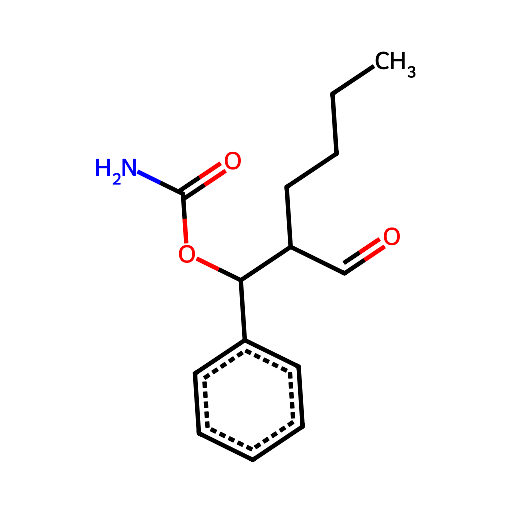 CCCCC(C=O)C(OC(N)=O)c1ccccc1